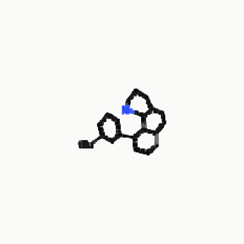 CC(C)(C)c1cccc(-c2cccc3ccc4cccnc4c23)c1